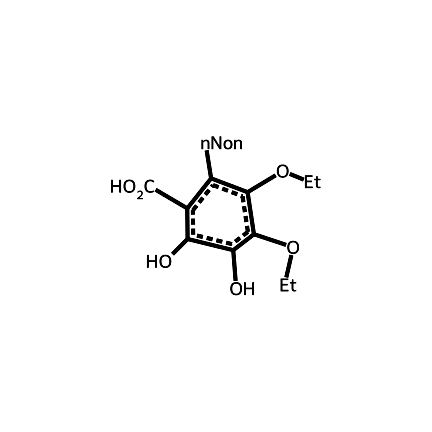 CCCCCCCCCc1c(OCC)c(OCC)c(O)c(O)c1C(=O)O